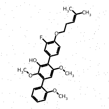 COc1ccccc1-c1cc(OC)c(-c2ccc(OCCC=C(C)C)c(F)c2)c(O)c1OC